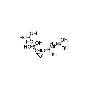 C1CC1.OB(O)O.OB(O)O.OB(O)O.OB(O)O